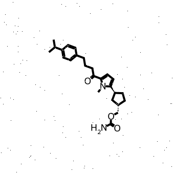 CC(C)c1ccc(CCCC(=O)c2ccc([C@H]3CC[C@H](COC(N)=O)C3)n2C)cc1